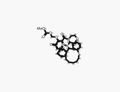 COC(=O)OCOc1c2n(ccc1=O)N(C1c3ccccc3CCCCCSc3ccccc31)C1COCCN1C2=O